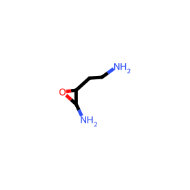 NCCC1OC1N